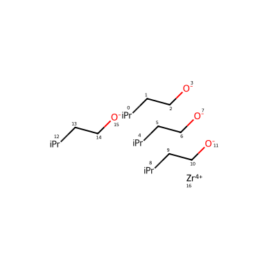 CC(C)CC[O-].CC(C)CC[O-].CC(C)CC[O-].CC(C)CC[O-].[Zr+4]